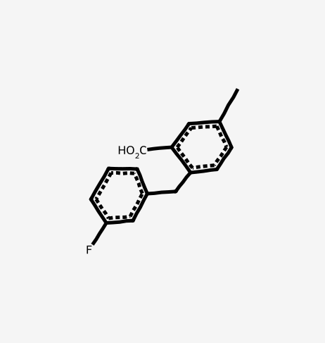 Cc1ccc(Cc2cccc(F)c2)c(C(=O)O)c1